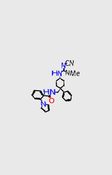 CN/C(=N\C#N)N[C@H]1CC[C@](CNC(=O)c2ccccc2-n2cccc2)(c2ccccc2)CC1